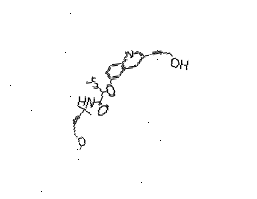 COCC#CC(C)(C)NC(=O)C(Oc1ccc2ncc(C#CCO)cc2c1)SC